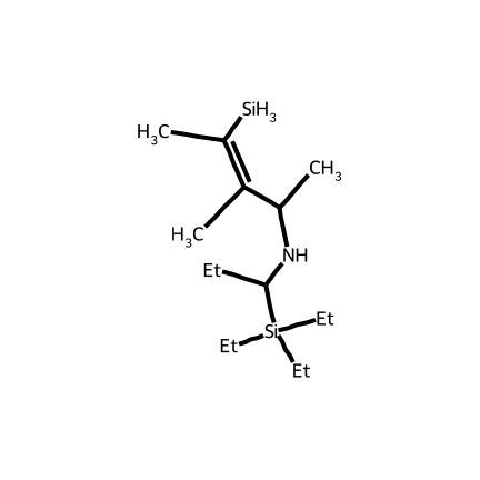 CCC(NC(C)C(C)=C(C)[SiH3])[Si](CC)(CC)CC